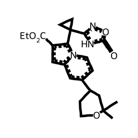 CCOC(=O)c1cc2cc(C3CCOC(C)(C)C3)ccn2c1C1(c2noc(=O)[nH]2)CC1